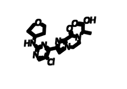 CC(C(=O)O)N1CCn2cc(-c3nc(NC4CCOCC4)ncc3Cl)nc2C1=O